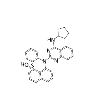 O=S(=O)(O)c1cccc2cccc(N(c3ccccc3)c3nc(NC4CCCC4)c4ccccc4n3)c12